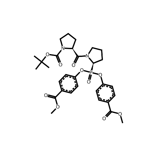 COC(=O)c1ccc(OP(=O)(Oc2ccc(C(=O)OC)cc2)[C@@H]2CCCN2C(=O)[C@@H]2CCCN2C(=O)OC(C)(C)C)cc1